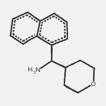 NC(c1cccc2ccccc12)C1CCOCC1